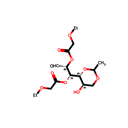 CCOCC(=O)O[C@@H]([C@@H]1OC(C)OC[C@H]1O)[C@H](C=O)OC(=O)COCC